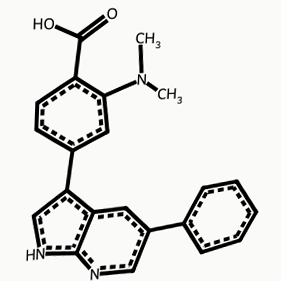 CN(C)c1cc(-c2c[nH]c3ncc(-c4ccccc4)cc23)ccc1C(=O)O